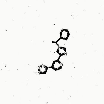 CC(c1ccccc1)n1cnc(-c2cc(-c3c[nH]nn3)ccn2)c1